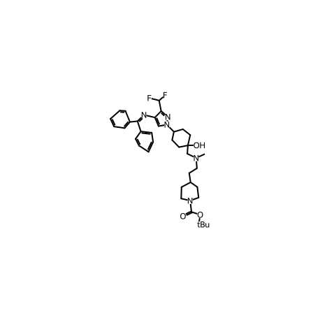 CN(CCC1CCN(C(=O)OC(C)(C)C)CC1)CC1(O)CCC(n2cc(N=C(c3ccccc3)c3ccccc3)c(C(F)F)n2)CC1